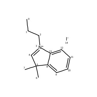 CCC[N+]1=CC(C)(C)c2ccccc21.[I-]